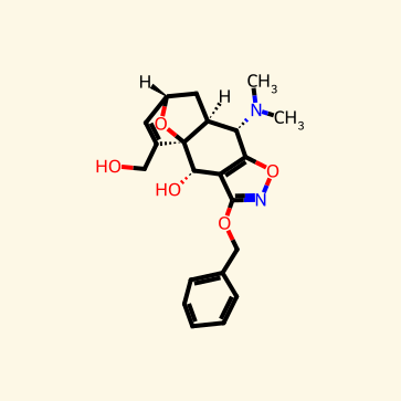 CN(C)[C@@H]1c2onc(OCc3ccccc3)c2[C@H](O)[C@]23O[C@H](C=C2CO)C[C@@H]13